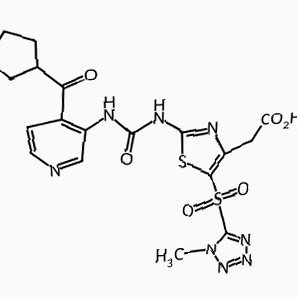 Cn1nnnc1S(=O)(=O)c1sc(NC(=O)Nc2cnccc2C(=O)C2CCCC2)nc1CC(=O)O